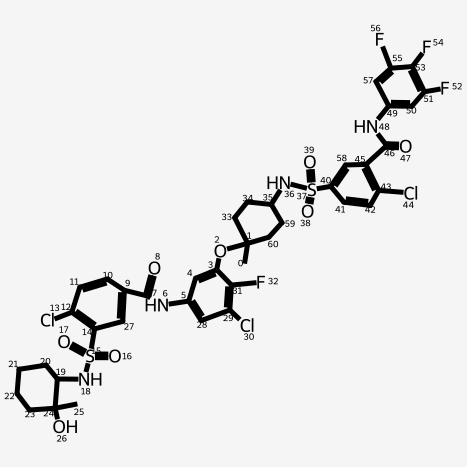 CC1(Oc2cc(NC(=O)c3ccc(Cl)c(S(=O)(=O)NC4CCCCC4(C)O)c3)cc(Cl)c2F)CCC(NS(=O)(=O)c2ccc(Cl)c(C(=O)Nc3cc(F)c(F)c(F)c3)c2)CC1